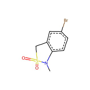 CN1c2ccc(Br)cc2CS1(=O)=O